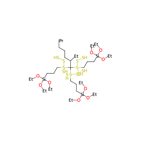 CCO[Si](CCCS(S)(SS)C(C(CC)CCCC(C)C)(S(S)(CCC[Si](OCC)(OCC)OCC)SS)S(S)(CCC[Si](OCC)(OCC)OCC)SS)(OCC)OCC